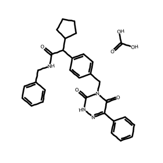 O=C(NCc1ccccc1)C(c1ccc(Cn2c(=O)[nH]nc(-c3ccccc3)c2=O)cc1)C1CCCC1.O=C(O)O